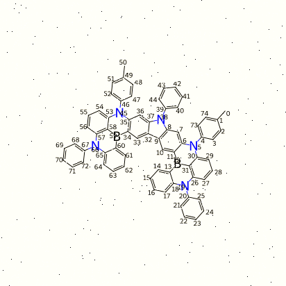 Cc1ccc(N2c3cc4c(cc3B3c5ccccc5N(c5ccccc5)c5cccc2c53)c2cc3c(cc2n4-c2ccccc2)N(c2ccc(C)cc2)c2cccc4c2B3c2ccccc2N4c2ccccc2)cc1